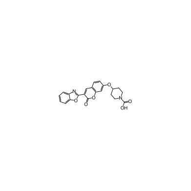 O=C(O)N1CCC(Oc2ccc3cc(-c4nc5ccccc5o4)c(=O)oc3c2)CC1